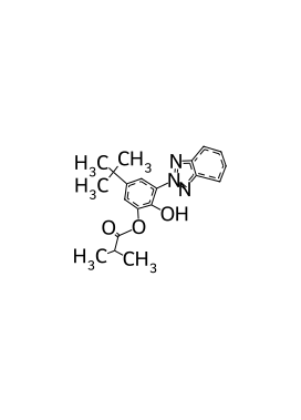 CC(C)C(=O)Oc1cc(C(C)(C)C)cc(-n2nc3ccccc3n2)c1O